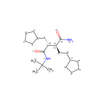 CC(C)(C)NC(=O)[C@H](CC1CCCC1)[C@H](CCC1CCCC1)C(N)=O